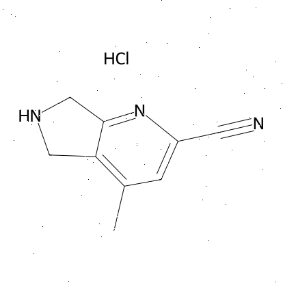 Cc1cc(C#N)nc2c1CNC2.Cl